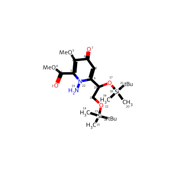 COC(=O)c1c(OC)c(=O)cc(C(CO[Si](C)(C)C(C)(C)C)O[Si](C)(C)C(C)(C)C)n1N